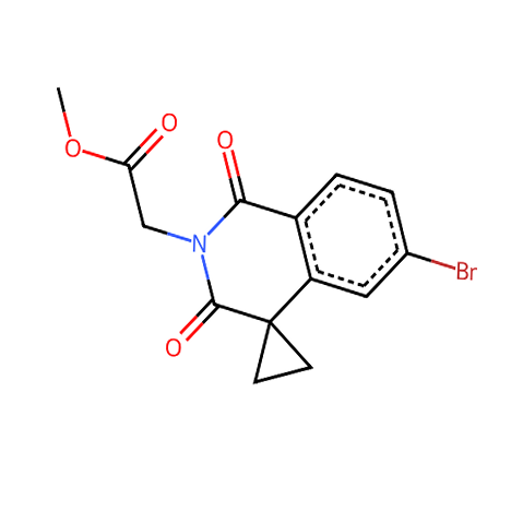 COC(=O)CN1C(=O)c2ccc(Br)cc2C2(CC2)C1=O